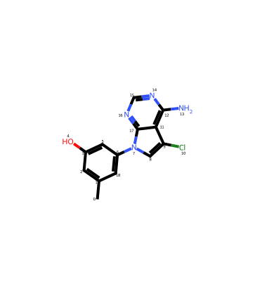 Cc1cc(O)cc(-n2cc(Cl)c3c(N)ncnc32)c1